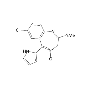 CNC1=Nc2ccc(Cl)cc2C(c2ccc[nH]2)=[N+]([O-])C1